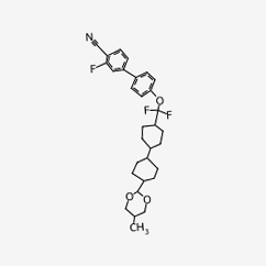 CC1COC(C2CCC(C3CCC(C(F)(F)Oc4ccc(-c5ccc(C#N)c(F)c5)cc4)CC3)CC2)OC1